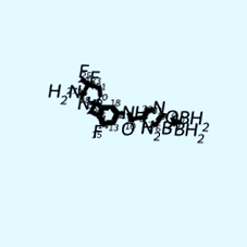 BC(B)(B)Oc1cnc(C(=O)Nc2cc(F)c3c(c2)[C@@]2(CC[C@](F)(CF)C(N)=N2)C3)cn1